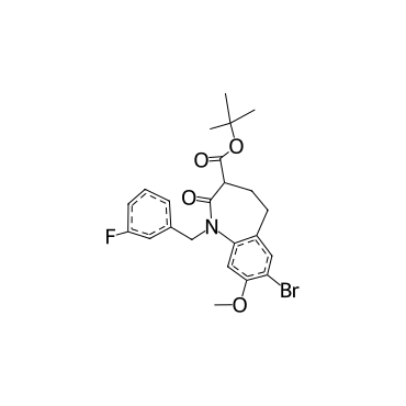 COc1cc2c(cc1Br)CCC(C(=O)OC(C)(C)C)C(=O)N2Cc1cccc(F)c1